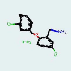 Cl.NCc1cc(Cl)ccc1OCc1cccc(Cl)c1